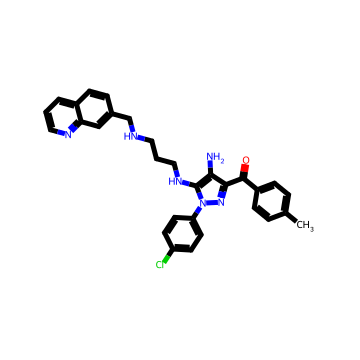 Cc1ccc(C(=O)c2nn(-c3ccc(Cl)cc3)c(NCCCNCc3ccc4cccnc4c3)c2N)cc1